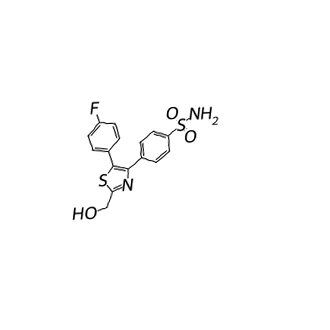 NS(=O)(=O)c1ccc(-c2nc(CO)sc2-c2ccc(F)cc2)cc1